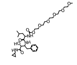 COCCOCCOCCOCCOCCOC(=O)NC(CC(C)C)C(=O)NC(Cc1ccccc1)C(O)C(=O)NC1CC1